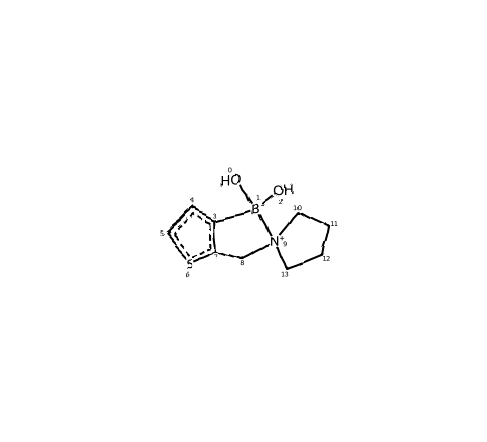 O[B-]1(O)c2ccsc2C[N+]12CCCC2